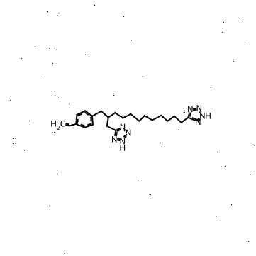 C=Cc1ccc(CC(CCCCCCCCCCc2nn[nH]n2)Cc2nn[nH]n2)cc1